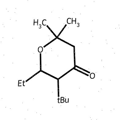 CCC1OC(C)(C)CC(=O)C1C(C)(C)C